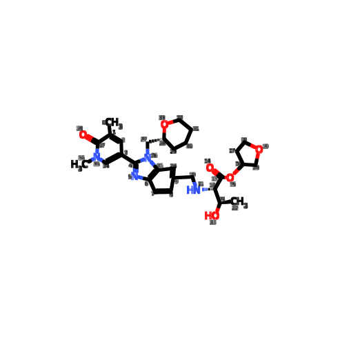 Cc1cc(-c2nc3ccc(CN[C@H](C(=O)OC4CCOC4)[C@@H](C)O)cc3n2C[C@H]2CCCCO2)cn(C)c1=O